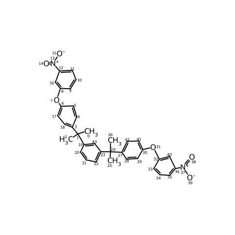 CC(C)(c1ccc(Oc2cccc([N+](=O)[O-])c2)cc1)c1cccc(C(C)(C)c2ccc(Oc3cccc([N+](=O)[O-])c3)cc2)c1